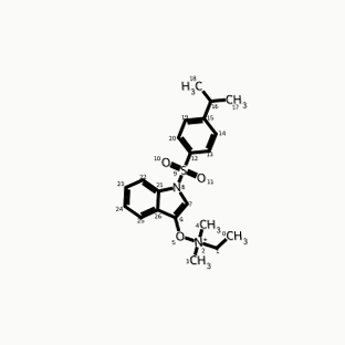 CC[N+](C)(C)Oc1cn(S(=O)(=O)c2ccc(C(C)C)cc2)c2ccccc12